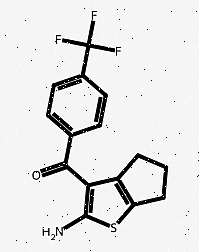 Nc1sc2c(c1C(=O)c1ccc(C(F)(F)F)cc1)CCC2